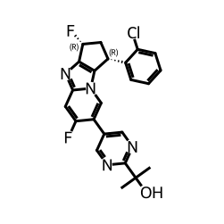 CC(C)(O)c1ncc(-c2cn3c4c(nc3cc2F)[C@H](F)C[C@@H]4c2ccccc2Cl)cn1